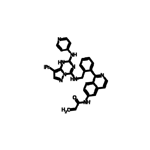 C=CC(=O)Nc1ccc2c(-c3ccccc3CNC3=NC(Nc4ccncc4)Nc4c(C(C)C)cnn43)nccc2c1